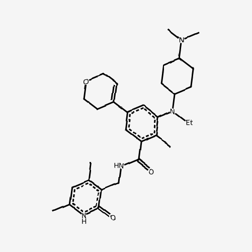 CCN(c1cc(C2=CCOCC2)cc(C(=O)NCc2c(C)cc(C)[nH]c2=O)c1C)C1CCC(N(C)C)CC1